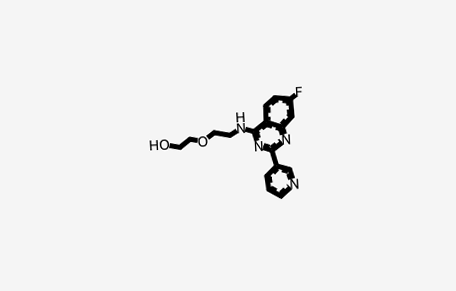 OCCOCCNc1nc(-c2cccnc2)nc2cc(F)ccc12